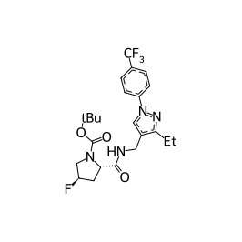 CCc1nn(-c2ccc(C(F)(F)F)cc2)cc1CNC(=O)[C@@H]1C[C@@H](F)CN1C(=O)OC(C)(C)C